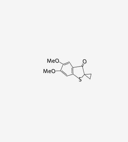 COc1cc2c(cc1OC)C(=O)C1(CC1)S2